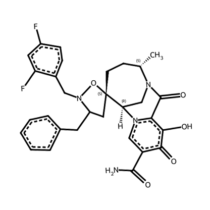 C[C@H]1CC[C@]2(CC(Cc3ccccc3)N(Cc3ccc(F)cc3F)O2)[C@H]2CN1C(=O)c1c(O)c(=O)c(C(N)=O)cn12